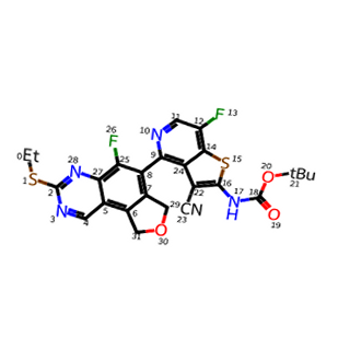 CCSc1ncc2c3c(c(-c4ncc(F)c5sc(NC(=O)OC(C)(C)C)c(C#N)c45)c(F)c2n1)COC3